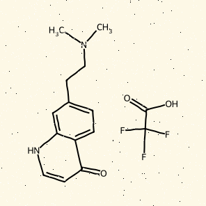 CN(C)CCc1ccc2c(=O)cc[nH]c2c1.O=C(O)C(F)(F)F